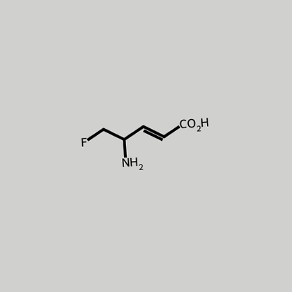 NC(/C=C/C(=O)O)CF